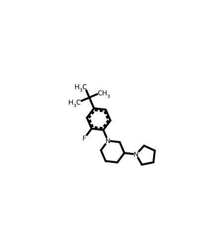 CC(C)(C)c1ccc(N2CCCC(N3CCCC3)C2)c(F)c1